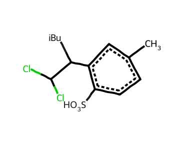 CCC(C)C(c1cc(C)ccc1S(=O)(=O)O)C(Cl)Cl